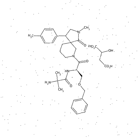 Cc1ccc(C2CN(C)C(=O)C23CCCN(C(=O)[C@@H](COCc2ccccc2)NC(=O)C(C)(C)N)C3)cc1.O=C(O)CC(O)C(=O)O